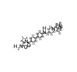 NC(=O)[C@@H]1CCCN1C(=O)c1ccc(-c2ccc(NCC3CCN(CC4(C(F)(F)F)CCC4)CC3)cc2)cc1